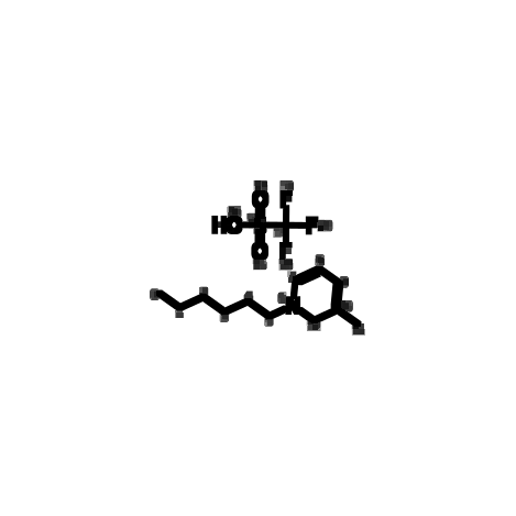 CCCCCCN1C=CC=C(C)C1.O=S(=O)(O)C(F)(F)F